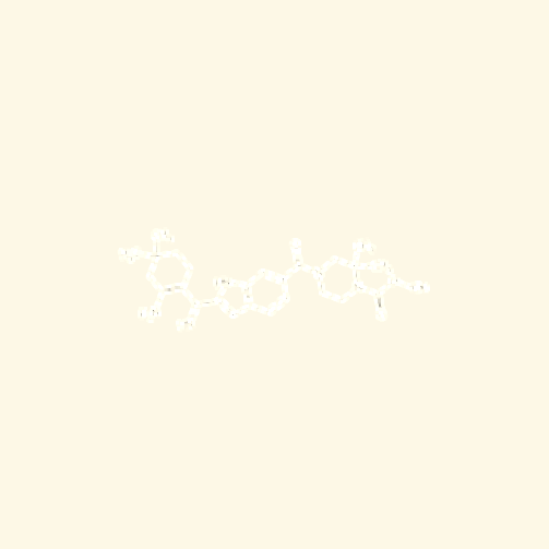 CC1(C)CCC(C(=N)c2cc3ccc(C(=O)N4CCN(C(=O)OC(C)(C)C)C(C)(C)C4)cc3[nH]2)=C(N)C1